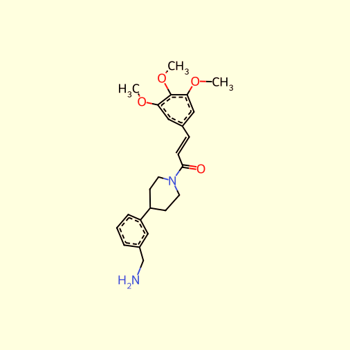 COc1cc(C=CC(=O)N2CCC(c3cccc(CN)c3)CC2)cc(OC)c1OC